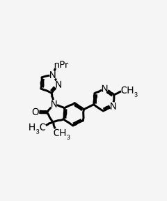 CCCn1ccc(N2C(=O)C(C)(C)c3ccc(-c4cnc(C)nc4)cc32)n1